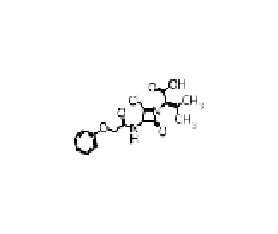 CC(C)=C(C(=O)O)N1C(=O)C(NC(=O)COc2ccccc2)C1Cl